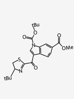 COC(=O)c1ccc2c(C(=O)C3=NC(C(C)(C)C)CS3)cn(C(=O)OC(C)(C)C)c2c1